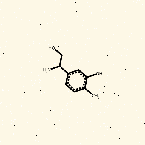 Cc1ccc(C(N)CO)cc1O